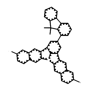 CC(C)c1ccc2cc3c(cc2c1)c1cc(-c2cccc4c2C(C)(C)c2ccccc2-4)cc2c4cc5cc(C(C)C)ccc5cc4n3c12